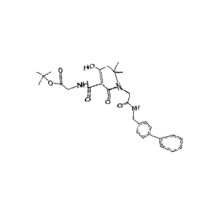 CC(C)(C)OC(=O)CNC(=O)C1=C(O)CC(C)(C)N(CC(=O)NCc2ccc(-c3ccccc3)cc2)C1=O